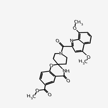 COC(=O)c1ccc2c(c1)C(=O)NC1(CCN(C(=O)c3cc(OC)c4cccc(OC)c4n3)CC1)O2